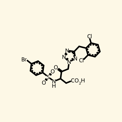 O=C(O)CC(NS(=O)(=O)c1ccc(Br)cc1)C(=O)Cn1nnc(Cc2c(Cl)cccc2Cl)n1